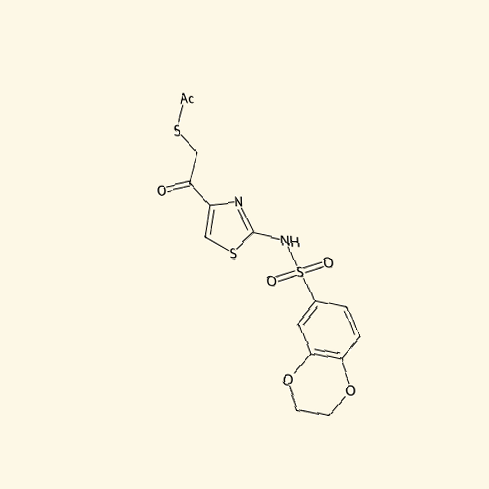 CC(=O)SCC(=O)c1csc(NS(=O)(=O)c2ccc3c(c2)OCCO3)n1